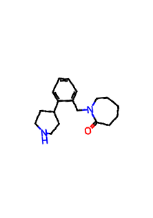 O=C1CCCCCN1Cc1ccccc1C1CCNCC1